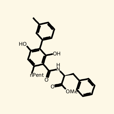 CCCCCc1cc(O)c(-c2cccc(C)c2)c(O)c1C(=O)N[C@@H](Cc1ccccc1)C(=O)OC